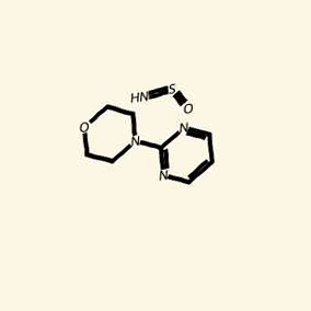 N=S=O.c1cnc(N2CCOCC2)nc1